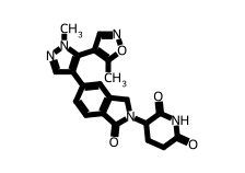 Cc1oncc1-c1c(-c2ccc3c(c2)CN(C2CCC(=O)NC2=O)C3=O)cnn1C